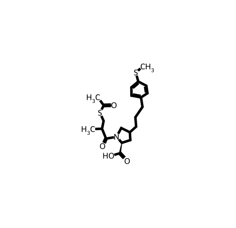 CSc1ccc(CCCC2C[C@@H](C(=O)O)N(C(=O)C(C)CSC(C)=O)C2)cc1